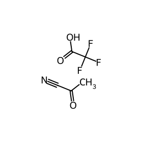 CC(=O)C#N.O=C(O)C(F)(F)F